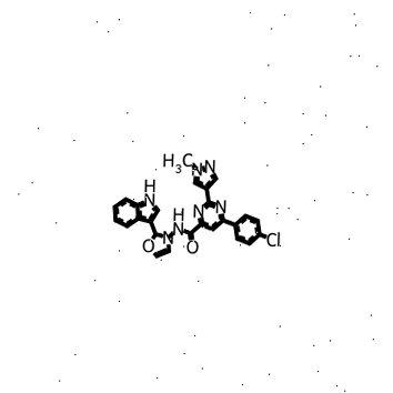 Cn1cc(-c2nc(C(=O)NN3C=COC3c3c[nH]c4ccccc34)cc(-c3ccc(Cl)cc3)n2)cn1